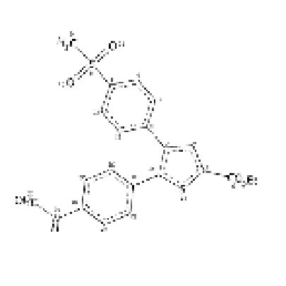 CCOC(=O)c1cc(-c2ccc(S(C)(=O)=O)cc2)c(-c2ccc(NC=O)cc2)s1